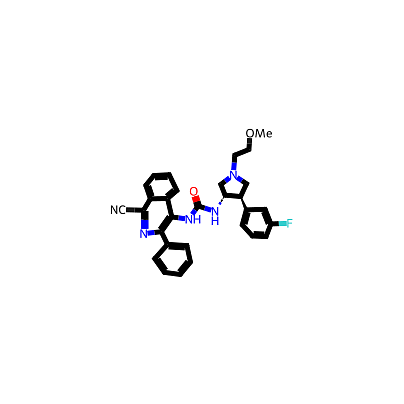 COCCN1C[C@@H](NC(=O)Nc2c(-c3ccccc3)nc(C#N)c3ccccc23)[C@H](c2cccc(F)c2)C1